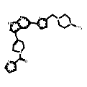 CN1CCN(Cc2ccc(-c3cnc4[nH]cc(C5=CCN(C(=O)c6cccs6)CC5)c4c3)s2)CC1